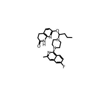 CCCC(Oc1ccc2c(n1)NC(=O)CC2)N1CCN(c2nc(C)cc3cc(F)ccc23)CC1